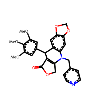 COc1cc(C2C3=C(COC3=O)N(Cc3ccncc3)c3cc4c(cc32)OCO4)cc(OC)c1OC